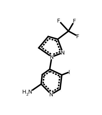 Nc1cc(-n2ccc(C(F)(F)F)n2)c(I)cn1